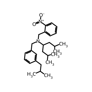 CC(C)Cc1cccc(CN(Cc2ccccc2[N+](=O)[O-])C(CC(C)C)CC(C)C)c1